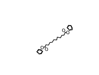 O=C(CCCCCCCCCCC(=O)Oc1ccccc1)Oc1ccccc1